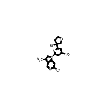 CCCc1cc(-n2cc(C)c3cnc(Cl)cc32)nc(C2(CC)CCOC2)c1